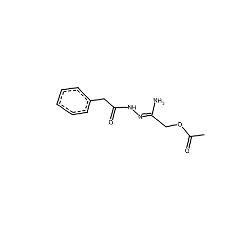 CC(=O)OC/C(N)=N/NC(=O)Cc1ccccc1